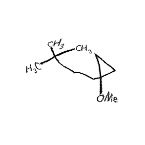 COC1(CC(C)(C)C)CC1